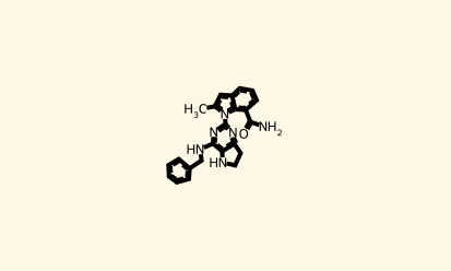 Cc1cc2cccc(C(N)=O)c2n1-c1nc2c(c(NCc3ccccc3)n1)NCC2